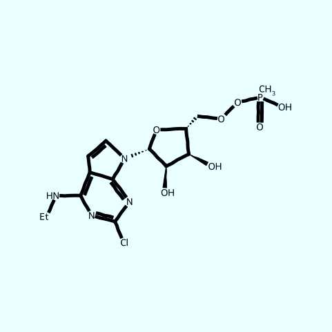 CCNc1nc(Cl)nc2c1ccn2[C@@H]1O[C@H](COOP(C)(=O)O)[C@@H](O)[C@H]1O